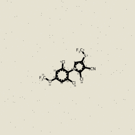 N#Cc1c(SC(F)(F)F)cn(-c2c(Cl)cc(OC(F)(F)F)cc2Cl)c1Cl